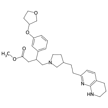 COC(=O)CC(CN1CCC(CCc2ccc3c(n2)NCCC3)C1)c1cccc(OC2CCOC2)c1